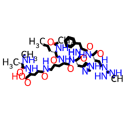 CCCC[C@H](NC(C)=O)C(=O)NC(CCCNC(=O)CCC(NC(=O)[C@H](C)NC)C(=O)O)C(=O)N[C@@H](Cc1c[nH]cn1)C(=O)NC(Cc1ccccc1)C(=O)N[C@H](C=O)CCCNC(=N)NC